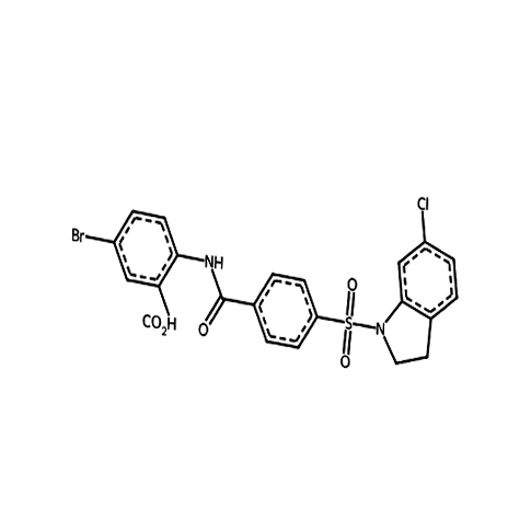 O=C(Nc1ccc(Br)cc1C(=O)O)c1ccc(S(=O)(=O)N2CCc3ccc(Cl)cc32)cc1